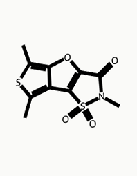 Cc1sc(C)c2c3c(oc12)C(=O)N(C)S3(=O)=O